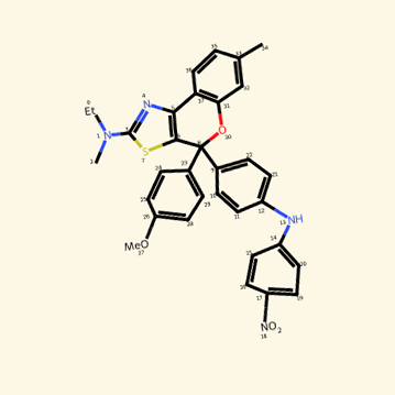 CCN(C)c1nc2c(s1)C(c1ccc(Nc3ccc([N+](=O)[O-])cc3)cc1)(c1ccc(OC)cc1)Oc1cc(C)ccc1-2